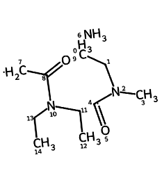 CCN(C)[C]=O.N.[CH2]C(=O)N(CC)CC